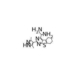 Cc1n[nH]c(C)c1-c1nc(C(N)CN)c2c3c(sc2n1)CCCC3